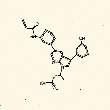 C=CC(=O)Nc1cccc(-c2cnc3c(c2)c(-c2cccc(C#N)c2)cn3C(C)OC(=O)C(C)(C)C)c1